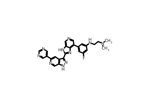 CN(C)CCNc1cc(F)cc(-c2cncc3[nH]c(-c4n[nH]c5cnc(-c6cncnc6)cc45)nc23)c1